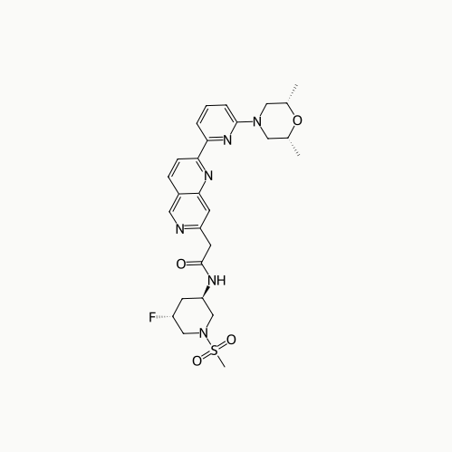 C[C@@H]1CN(c2cccc(-c3ccc4cnc(CC(=O)N[C@@H]5C[C@@H](F)CN(S(C)(=O)=O)C5)cc4n3)n2)C[C@H](C)O1